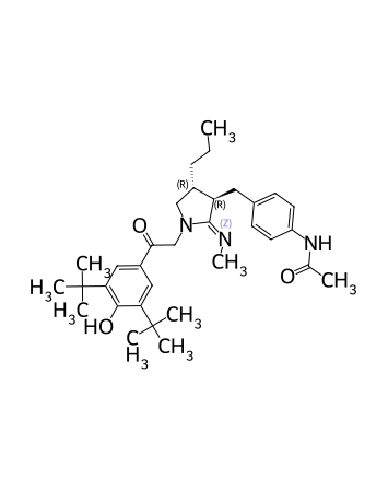 CCC[C@H]1CN(CC(=O)c2cc(C(C)(C)C)c(O)c(C(C)(C)C)c2)/C(=N\C)[C@@H]1Cc1ccc(NC(C)=O)cc1